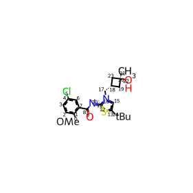 COc1ccc(Cl)cc1C(=O)/N=c1\sc(C(C)(C)C)cn1C[C@H]1C[C@](C)(O)C1